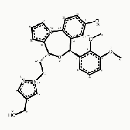 COc1cccc([C@H]2O[C@H](CCn3cc(CO)cn3)c3cccn3-c3ccc(Cl)cc32)c1OC